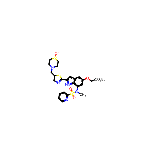 CCOC(=O)COc1cc(N(C)S(=O)(=O)c2ccccn2)c2[nH]c(C3=NCC(CN4CC[S+]([O-])CC4)S3)cc2c1